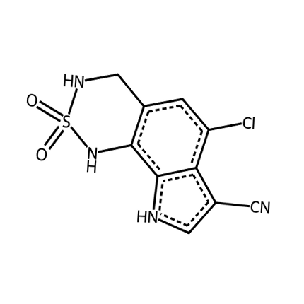 N#Cc1c[nH]c2c3c(cc(Cl)c12)CNS(=O)(=O)N3